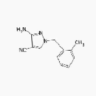 Cc1ccccc1Cn1cc(C#N)c(N)n1